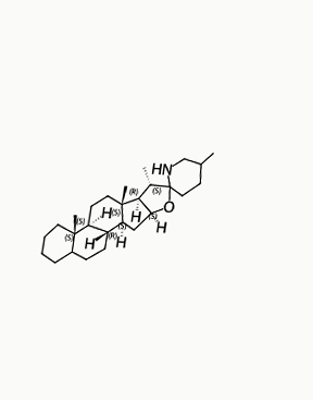 CC1CCC2(NC1)O[C@H]1C[C@H]3[C@@H]4CCC5CCCC[C@]5(C)[C@H]4CC[C@]3(C)[C@H]1[C@@H]2C